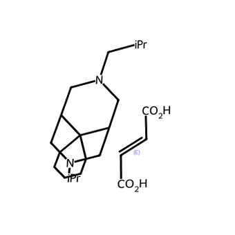 CC(C)CN1CC2CN(C(C)C)CC(C1)C21CCCCC1.O=C(O)/C=C/C(=O)O